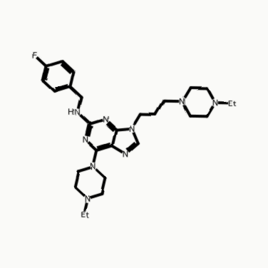 CCN1CCN(CCCn2cnc3c(N4CCN(CC)CC4)nc(NCc4ccc(F)cc4)nc32)CC1